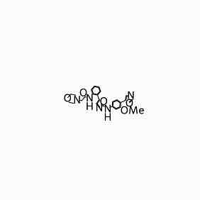 COc1cc(Nc2ncc(-c3ccccc3NC(=O)CN3CCOCC3)o2)ccc1-c1cnco1